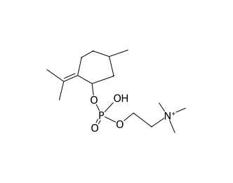 CC(C)=C1CCC(C)CC1OP(=O)(O)OCC[N+](C)(C)C